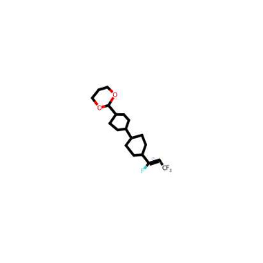 F/C(=C\C(F)(F)F)C1CCC(C2CCC(C3OCCCO3)CC2)CC1